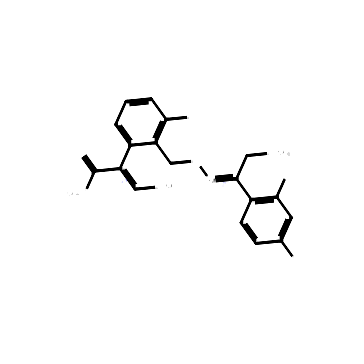 CO/C=C(/C(=O)OC)c1cccc(Cl)c1CO/N=C(\COC)c1ccc(F)cc1F